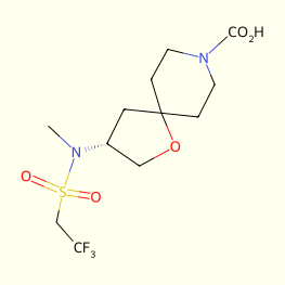 CN([C@H]1COC2(CCN(C(=O)O)CC2)C1)S(=O)(=O)CC(F)(F)F